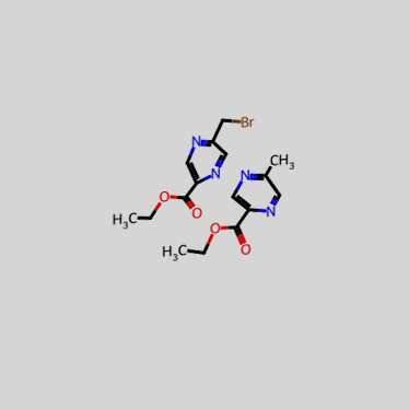 CCOC(=O)c1cnc(C)cn1.CCOC(=O)c1cnc(CBr)cn1